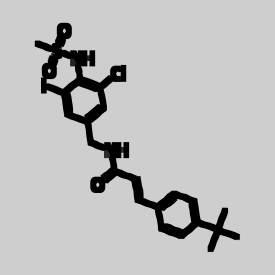 CC(C)(C)c1ccc(/C=C/C(=O)NCc2cc(Cl)c(NS(C)(=O)=O)c(I)c2)cc1